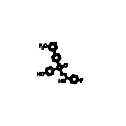 O=C1[C@H](SC[C@@H](O)c2ccc(F)cc2)[C@@H](c2ccc(O)cc2)N1c1ccc(-c2cncc(C(F)(F)F)c2)cc1